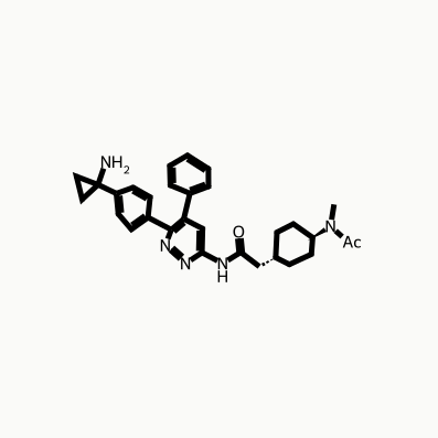 CC(=O)N(C)[C@H]1CC[C@H](CC(=O)Nc2cc(-c3ccccc3)c(-c3ccc(C4(N)CC4)cc3)nn2)CC1